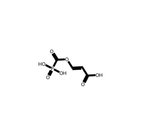 O=C(O)C=COC(=O)P(=O)(O)O